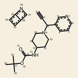 C#CC(c1cccnc1)N1CCC(NC(=O)OC(C)(C)C)CC1.c1cc2ncc1-2